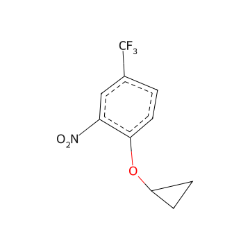 O=[N+]([O-])c1cc(C(F)(F)F)ccc1OC1CC1